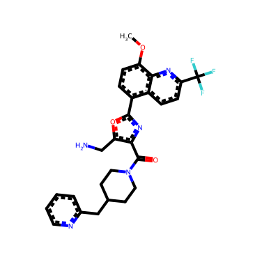 COc1ccc(-c2nc(C(=O)N3CCC(Cc4ccccn4)CC3)c(CN)o2)c2ccc(C(F)(F)F)nc12